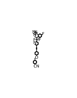 N#Cc1ccc(COc2ccc(C#Cc3ccc(C(F)(F)[C](Cn4cnnn4)c4ccc(F)cc4F)nc3)cc2)cc1